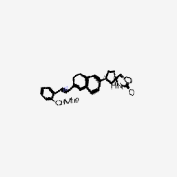 COc1ccccc1/C=C/C1=Cc2ccc([C@H]3CC[C@]4(COC(=O)N4)C3)cc2CC1